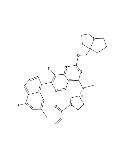 C=CC(=O)N1CC[C@@H](N(C)c2nc(OCC34CCCN3CCC4)nc3c(F)c(-c4cccc5c(F)cc(F)cc45)ncc23)C1